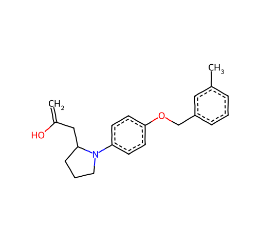 C=C(O)CC1CCCN1c1ccc(OCc2cccc(C)c2)cc1